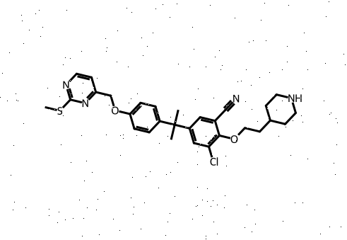 CSc1nccc(COc2ccc(C(C)(C)c3cc(Cl)c(OCCC4CCNCC4)c(C#N)c3)cc2)n1